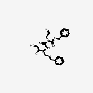 CC(C)CCN(C(=O)N[C@@H](COCc1ccccc1)C(=O)CO)C(=O)OCc1ccccc1